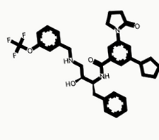 O=C(N[C@@H](Cc1ccccc1)[C@@H](O)CNCc1cccc(OC(F)(F)F)c1)c1cc(C2CCCC2)cc(N2CCCC2=O)c1